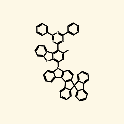 Cc1cc(-n2c3ccccc3c3c4c(ccc32)C2(c3ccccc3-c3ccccc32)c2ccccc2-4)c2oc3ccccc3c2c1-c1nc(-c2ccccc2)nc(-c2ccccc2)n1